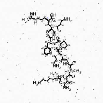 C[C@H](NC(=O)[C@@H](NC(=O)[C@@H](N)CCCCN)[C@@H](O)CN)C(=O)NCC(=O)N[C@H](CCCN)C(=O)N1CCC[C@H]1C(=O)N[C@@H](Cc1cccnc1)C(=O)N[C@@H](CCCCN)C(=O)CC/C(=C\CCNC(=N)N)C(=O)O